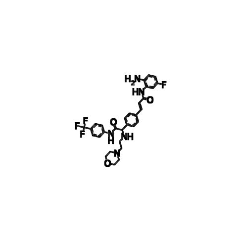 Nc1ccc(F)cc1NC(=O)C=Cc1ccc(C(NCCN2CCOCC2)C(=O)Nc2ccc(C(F)(F)F)cc2)cc1